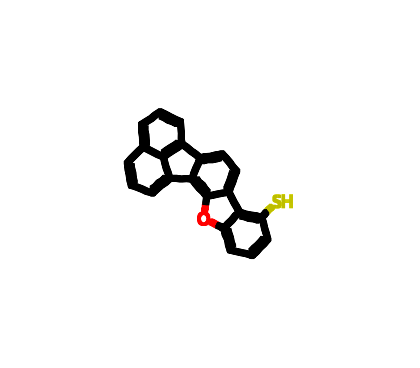 Sc1cccc2oc3c4c(ccc3c12)-c1cccc2cccc-4c12